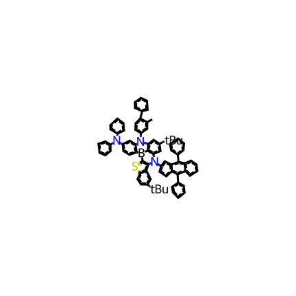 Cc1cc(N2c3cc(N(c4ccccc4)c4ccccc4)ccc3B3c4sc5ccc(C(C)(C)C)cc5c4N(c4ccc5c(-c6ccccc6)c6ccccc6c(-c6ccccc6)c5c4)c4cc(C(C)(C)C)cc2c43)ccc1-c1ccccc1